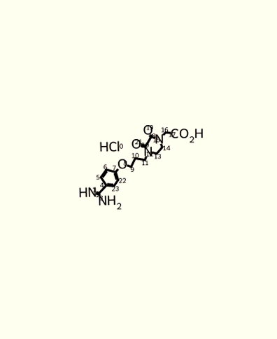 Cl.N=C(N)c1ccc(OCCCN2CCN(CC(=O)O)C(=O)C2=O)cc1